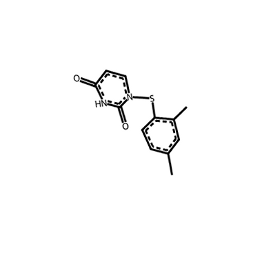 Cc1ccc(Sn2ccc(=O)[nH]c2=O)c(C)c1